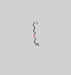 CC[CH]OCCCCC